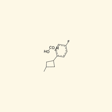 CC1CC(c2ccc(F)cc2)C1.O=C(O)O